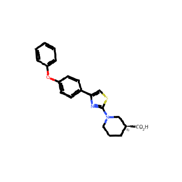 O=C(O)[C@H]1CCCN(c2nc(-c3ccc(Oc4ccccc4)cc3)cs2)C1